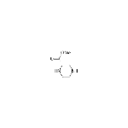 COC(=O)[C@@H]1CNCCN1